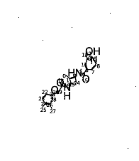 CC1=C(NC(=O)c2ccnc(CO)c2)CC1NC(=O)COc1ccc(C)c(C)c1